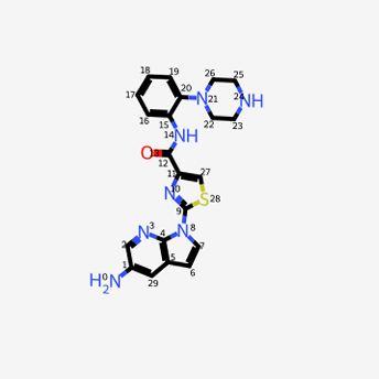 Nc1cnc2c(ccn2-c2nc(C(=O)Nc3ccccc3N3CCNCC3)cs2)c1